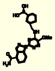 COc1nnc(-n2ncc3c(C(N)=O)cccc32)nc1NCc1cccc(B(O)O)c1